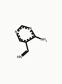 N=Cc1cncnc1N